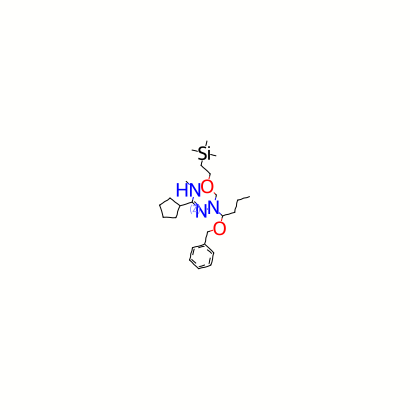 CCCC(OCc1ccccc1)N(COCC[Si](C)(C)C)/N=C(\NC)C1CCCC1